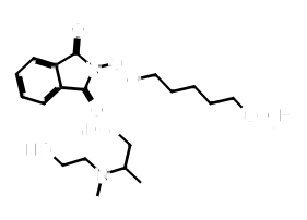 CCCCCCCCCCCC(C)N(C)CCO.O=C(O)CCCCCOON1C(=O)c2ccccc2C1=O